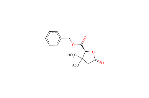 CC(=O)OC1(C(=O)O)CC(=O)O[C@@H]1C(=O)OCc1ccccc1